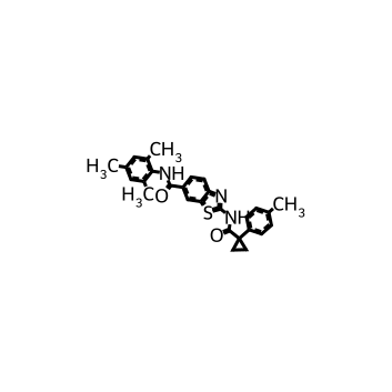 Cc1ccc(C2(C(=O)Nc3nc4ccc(C(=O)Nc5c(C)cc(C)cc5C)cc4s3)CC2)cc1